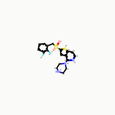 O=S(=O)(Cc1cccc(F)c1F)c1cc2c(N3CCNCC3)nccc2s1